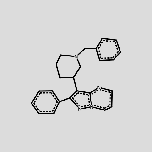 c1ccc(CN2CCCC(c3c(-c4ccccc4)nn4cccnc34)C2)cc1